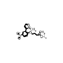 CN(C)CCCOc1ccc([N+](=O)[O-])cc1-c1ccnn1C